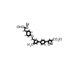 CCOC(=O)c1cc(-c2ccc(-c3cc(C)c(COc4ccc(CC(C=O)OCC)cc4)s3)cc2)on1